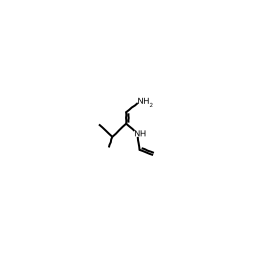 C=CN/C(=C\N)C(C)C